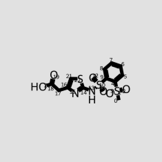 CS(=O)(=O)c1ccccc1S(=O)(=O)Nc1nc(CC(=O)O)cs1